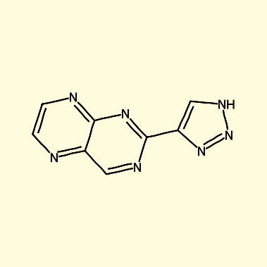 c1cnc2nc(-c3c[nH]nn3)ncc2n1